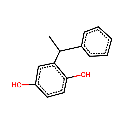 C[C](c1ccccc1)c1cc(O)ccc1O